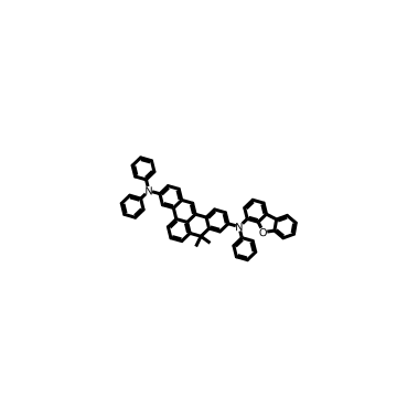 CC1(C)c2cc(N(c3ccccc3)c3cccc4c3oc3ccccc34)ccc2-c2cc3ccc(N(c4ccccc4)c4ccccc4)cc3c3cccc1c23